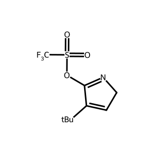 CC(C)(C)C1=CCN=C1OS(=O)(=O)C(F)(F)F